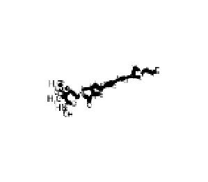 CC(CCN1Cc2cc(C#CC#CC3CN(CCF)C3)sc2C1=O)(C(=O)NO)S(C)(=O)=O